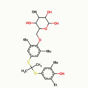 CCc1cc(SC(C)(C)Sc2cc(C(C)(C)C)c(OCC3OC(O)C(O)C(N=O)C3O)c(C(C)(C)C)c2)cc(C(C)(C)C)c1O